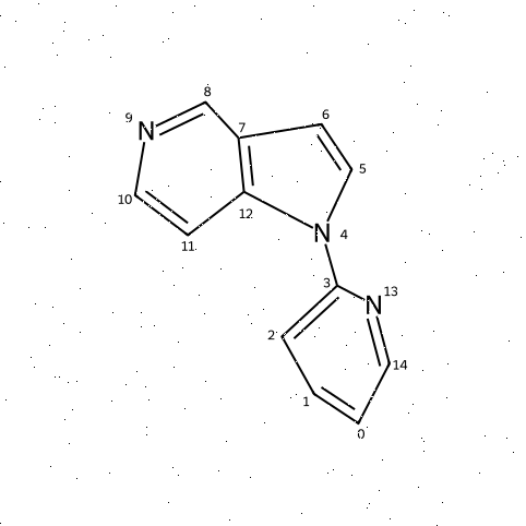 c1ccc(-n2ccc3cnccc32)nc1